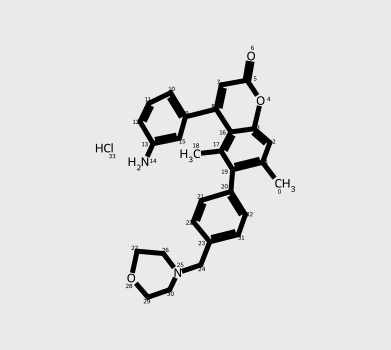 Cc1cc2oc(=O)cc(-c3cccc(N)c3)c2c(C)c1-c1ccc(CN2CCOCC2)cc1.Cl